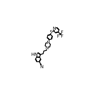 N#Cc1ccc2[nH]cc(CCCN3CCN(c4ccc(Sc5cc(C(F)(F)F)ccn5)cc4)CC3)c2c1